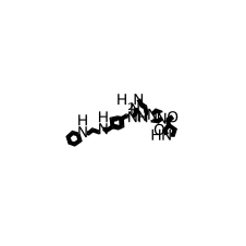 Nc1cc(N2CCN(C(=O)C3CCNC3=O)CC2)nc(NCc2ccc(CNCCCNC3CCCCC3)cc2)n1